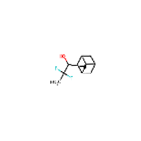 O=C(O)C(F)(F)C(O)C1C=C2C3CC2CC1C3